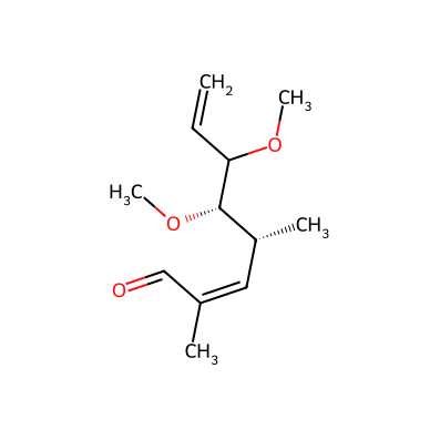 C=CC(OC)[C@@H](OC)[C@H](C)/C=C(/C)C=O